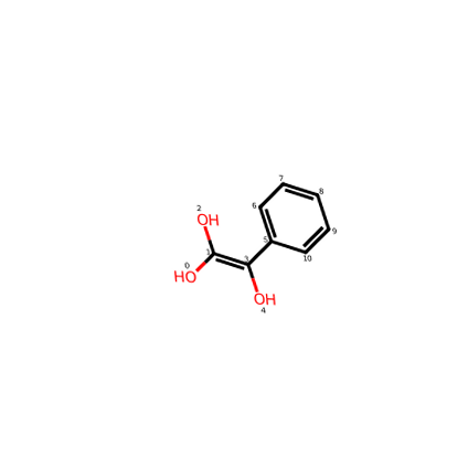 OC(O)=C(O)c1ccccc1